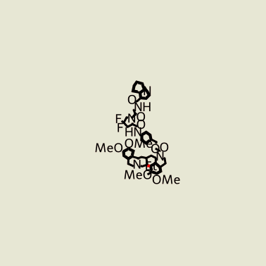 CCC1CN2CCc3cc(OC)c(OC)cc3C2CC1CC1c2cc(OC)c(OC)cc2CCN1C(=O)OCc1ccc(NC(=O)C2CC(F)(F)CN2C(=O)CNC(=O)c2ccnc3ccccc23)cc1